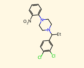 [CH2]CC(c1ccc(Cl)c(Cl)c1)N1CCN(c2ccccc2[N+](=O)[O-])CC1